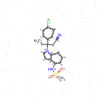 CCC(CC#N)(c1ccc(Cl)cc1)n1ccc2c(NS(C)(=O)=O)cccc21